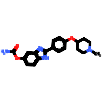 CN1CCC(Oc2ccc(-c3nc4cc(OC(N)=O)ccc4[nH]3)cc2)CC1